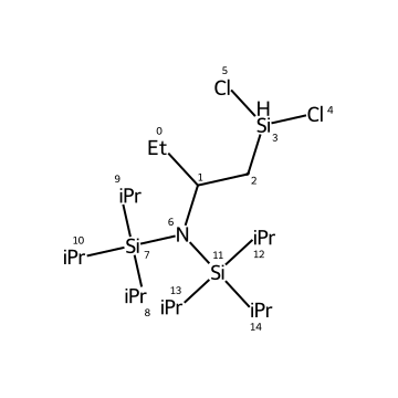 CCC(C[SiH](Cl)Cl)N([Si](C(C)C)(C(C)C)C(C)C)[Si](C(C)C)(C(C)C)C(C)C